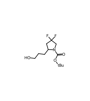 CC(C)(C)OC(=O)N1CC(F)(F)CC1CCCO